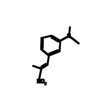 C/C(=C\c1cccc(N(C)C)c1)[N+](=O)[O-]